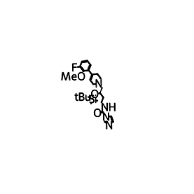 COc1c(F)cccc1C1=CCN(C[C@@H](CCNC(=O)n2ccnc2)O[Si](C)(C)C(C)(C)C)CC1